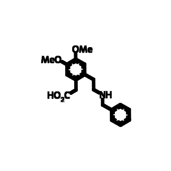 COc1cc(CCNCc2ccccc2)c(CC(=O)O)cc1OC